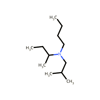 CCCCN(CC(C)C)C(C)CC